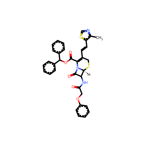 Cc1ncsc1C=CC1=C(C(=O)OC(c2ccccc2)c2ccccc2)N2C(=O)C(NC(=O)COc3ccccc3)[C@@H]2SC1